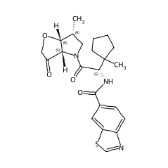 C[C@@H]1CN(C(=O)[C@@H](NC(=O)c2ccc3ncsc3c2)C2(C)CCCC2)[C@@H]2C(=O)CO[C@H]12